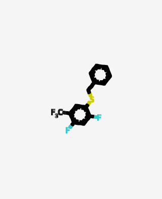 Fc1cc(F)c(C(F)(F)F)cc1SCc1ccccc1